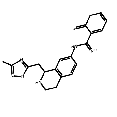 Cc1noc(CC2NCCc3ccc(NC(=N)C4=CC=CCC4=S)cc32)n1